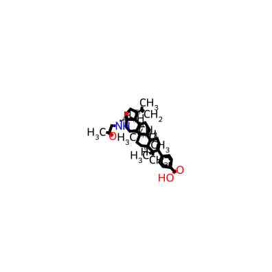 C=C(C)[C@@H]1CC[C@]2(CNCC(C)=O)CC[C@]3(C)[C@H](CC[C@@H]4[C@@]5(C)CC=C(c6ccc(C(=O)O)cc6)C(C)(C)[C@@H]5CC[C@]43C)[C@@H]12